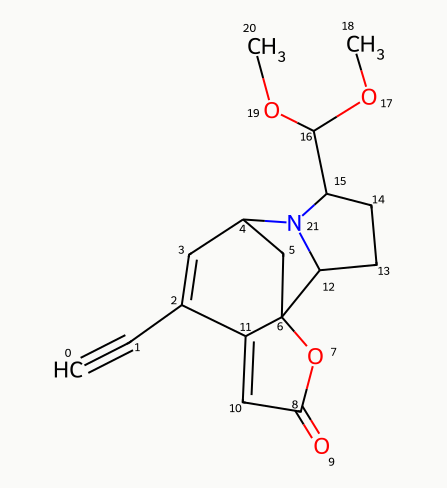 C#CC1=CC2CC3(OC(=O)C=C13)C1CCC(C(OC)OC)N21